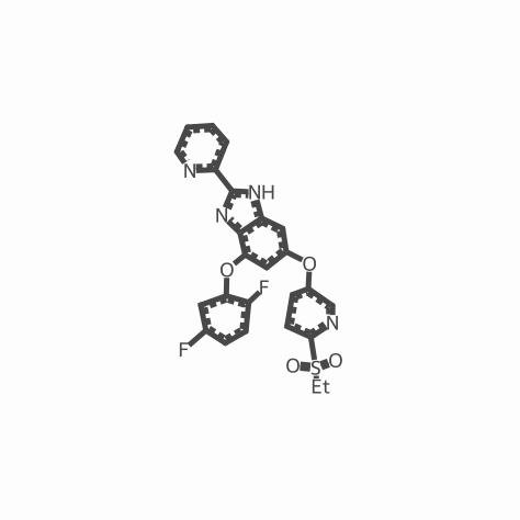 CCS(=O)(=O)c1ccc(Oc2cc(Oc3cc(F)ccc3F)c3nc(-c4ccccn4)[nH]c3c2)cn1